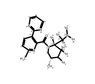 [2H]C1[C@H](C)CN(C(=O)c2nc(C)ccc2-c2ncccn2)[C@]([2H])(C([2H])([2H])N([2H])[2H])C1([2H])[2H]